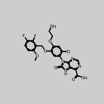 COc1ccc(F)c(F)c1COc1cc(-n2c(=O)[nH]c3c(C(=O)O)ncnc32)c(Cl)cc1OCCO